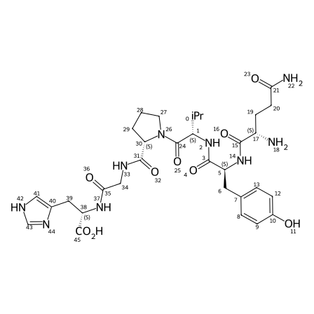 CC(C)[C@H](NC(=O)[C@H](Cc1ccc(O)cc1)NC(=O)[C@@H](N)CCC(N)=O)C(=O)N1CCC[C@H]1C(=O)NCC(=O)N[C@@H](Cc1c[nH]cn1)C(=O)O